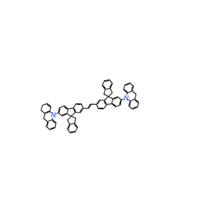 C1=CC2=C(CC1)Cc1ccccc1N2c1ccc2c(c1)C1(Cc3ccccc3C1)c1cc(/C=C/c3ccc4c(c3)C3(Cc5ccccc5C3)c3cc(N5c6ccccc6Cc6ccccc65)ccc3-4)ccc1-2